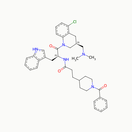 CN(C)C[C@@H]1Cc2c(Cl)cccc2N(C(=O)[C@H](Cc2c[nH]c3ccccc23)NC(=O)CCC2CCN(C(=O)c3ccccc3)CC2)C1